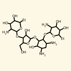 CCC1OC(OC2C(CO)OC(OC3C(O)C(N)CC(N)C3OC3OC(CC)C(O)C(O)C3N)C2O)C(N)C(O)C1O